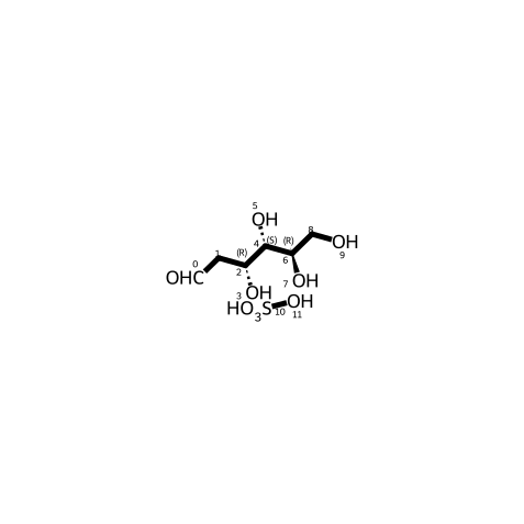 O=CC[C@@H](O)[C@H](O)[C@H](O)CO.O=S(=O)(O)O